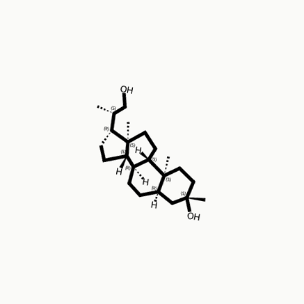 C[C@H](CO)[C@H]1CC[C@H]2[C@@H]3CC[C@@H]4C[C@@](C)(O)CC[C@]4(C)[C@H]3CC[C@]12C